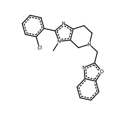 Cn1c(-c2ccccc2Cl)nc2c1CN(Cc1nc3ccccc3o1)CC2